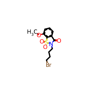 COc1cccc2c1S(=O)(=O)N(CCCCBr)C2=O